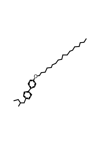 CCCCCCCCCCCCCCCCCCOc1ccc(-c2ccc(CC(C)CC)cc2)cc1